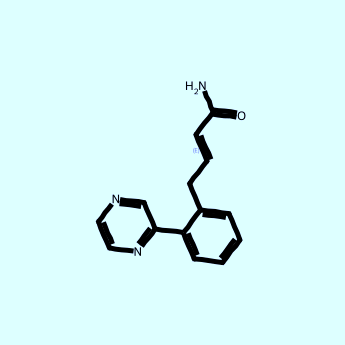 NC(=O)/C=C/Cc1ccccc1-c1cnccn1